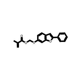 C=C(C)C(=O)OCSc1ccc2cc(-c3ccccc3)oc2c1